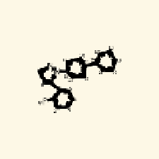 Fc1ccccc1-c1c[c]nn1-c1ccc(-c2ccccc2)cc1